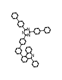 c1ccc(-c2ccc(-c3nc(-c4ccc(-c5ccccc5)cc4)nc(-c4ccc(-c5cccc(-c6cccc7c(-c8ccccc8)nc8ccccc8c67)c5)cc4)n3)cc2)cc1